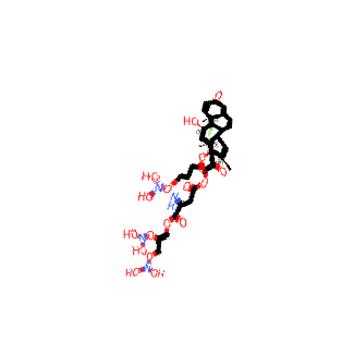 C[C@@H]1CC2C3CCC4=CC(=O)C=C[C@]4(C)[C@@]3(F)[C@@H](O)C[C@]2(C)[C@@]1(OC(=O)CCCON(O)O)C(=O)COC(=O)CC(N)C(=O)OCC(CON(O)O)ON(O)O